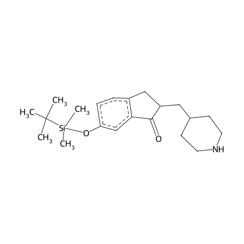 CC(C)(C)[Si](C)(C)Oc1ccc2c(c1)C(=O)C(CC1CCNCC1)C2